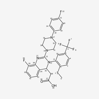 CSc1ccc(C(F)(F)F)cc1N1C(N2CCN(c3ccc(F)cc3)CC2)=Nc2c(F)cccc2C1CC(=O)O